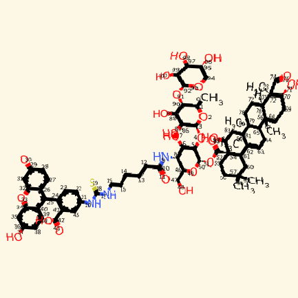 CC1O[C@@H](OC2C(O)[C@@H](NC(=O)CCCCCNC(=S)Nc3ccc(-c4c5ccc(=O)cc-5oc5cc(O)ccc45)c(C(=O)O)c3)C(CO)O[C@H]2OC(=O)[C@]23CCC(C)(C)CC2C2=CCC4C5(C)CC[C@H](O)[C@](C)(C=O)[C@@H]5CC[C@]4(C)[C@]2(C)CC3O)C(O)C(O)[C@H]1O[C@@H]1OC[C@@H](O)C(O)C1O